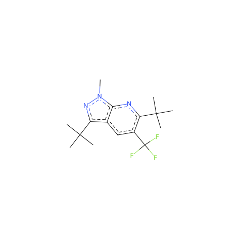 Cn1nc(C(C)(C)C)c2cc(C(F)(F)F)c(C(C)(C)C)nc21